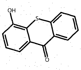 O=c1c2ccccc2sc2c(O)cccc12